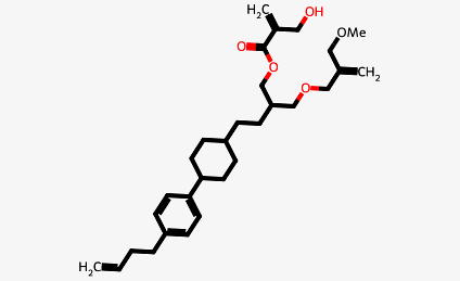 C=CCCc1ccc(C2CCC(CCC(COCC(=C)COC)COC(=O)C(=C)CO)CC2)cc1